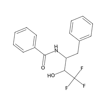 O=C(NC(Cc1ccccc1)C(O)C(F)(F)F)c1ccccc1